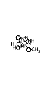 Cc1cccc(Nc2n[nH]c3ncnc(N[C@H](C)c4ccccc4)c23)c1.Cl